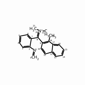 C=Nc1ccccc1C(c1ccc2ccccc2c1C)=[N+](C)C